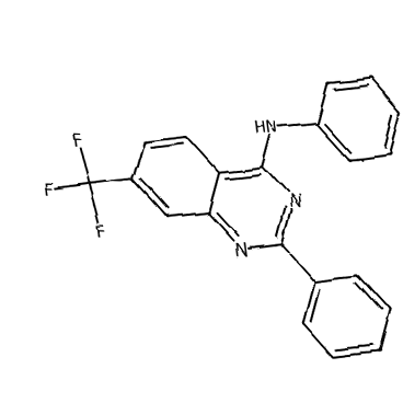 FC(F)(F)c1ccc2c(Nc3ccccc3)nc(-c3ccccc3)nc2c1